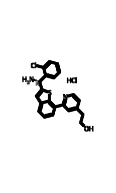 Cl.N[C@@H](c1cc2cccc(-c3cc(CCO)ccn3)c2s1)c1ccccc1Cl